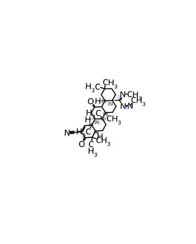 C/N=N\C(=N/C)[C@]12CCC(C)(C)C[C@@H]1C1C(=O)C[C@@H]3[C@@]4(C)C=C(C#N)C(=O)C(C)(C)[C@@H]4CC[C@@]3(C)[C@]1(C)CC2